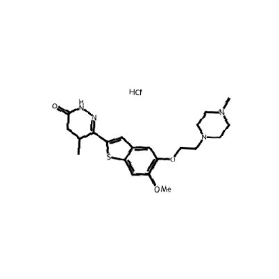 COc1cc2sc(C3=NNC(=O)CC3C)cc2cc1OCCN1CCN(C)CC1.Cl